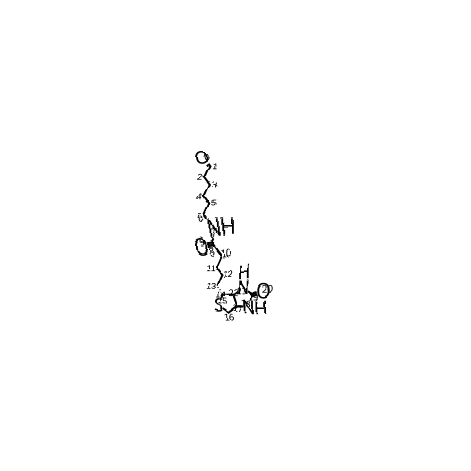 O=CCCCCCNC(=O)CCCC[C@H]1SCC2NC(=O)NC21